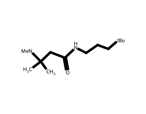 CNC(C)(C)CC(=O)NCCCC(C)(C)C